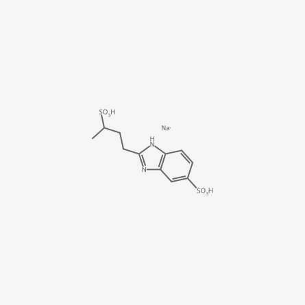 CC(CCc1nc2cc(S(=O)(=O)O)ccc2[nH]1)S(=O)(=O)O.[Na]